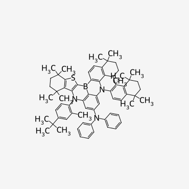 Cc1cc(C(C)(C)C)ccc1N1c2cc(N(c3ccccc3)c3ccccc3)cc3c2B(c2ccc4c5c2N3c2ccc3c(c2C5(C)CCC4(C)C)C(C)(C)CCC3(C)C)c2sc3c(c21)C(C)(C)CCC3(C)C